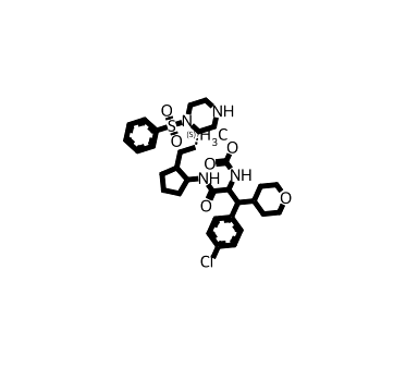 COC(=O)NC(C(=O)NC1CCCC1CC[C@H]1CNCCN1S(=O)(=O)c1ccccc1)C(c1ccc(Cl)cc1)C1CCOCC1